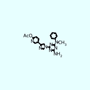 CC(=O)Oc1ccc(-c2cn(-c3nc(N)nc(N(C)c4ccccc4)n3)cn2)cn1